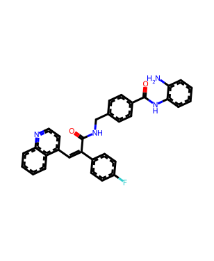 Nc1ccccc1NC(=O)c1ccc(CNC(=O)C(=Cc2ccnc3ccccc23)c2ccc(F)cc2)cc1